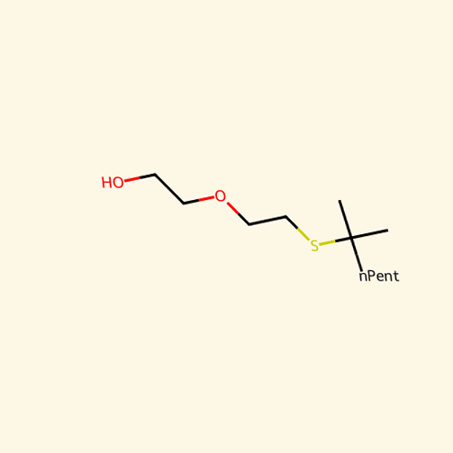 CCCCCC(C)(C)SCCOCCO